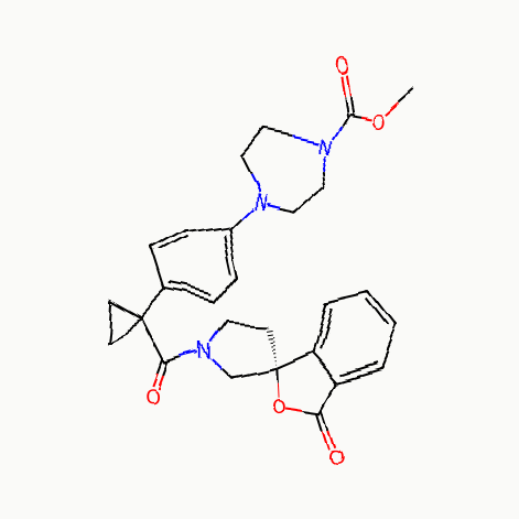 COC(=O)N1CCN(c2ccc(C3(C(=O)N4CC[C@@]5(C4)OC(=O)c4ccccc45)CC3)cc2)CC1